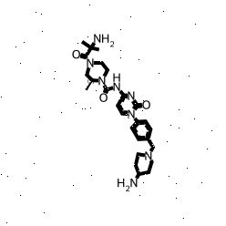 C[C@H]1CN(C(=O)C(C)(C)N)CCN1C(=O)Nc1ccn(-c2ccc(CN3CCC(N)CC3)cc2)c(=O)n1